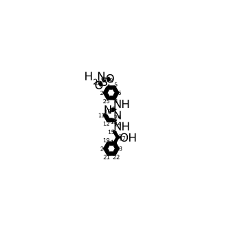 NS(=O)(=O)c1ccc(Nc2nccc(NC[C@@H](O)c3ccccc3)n2)cc1